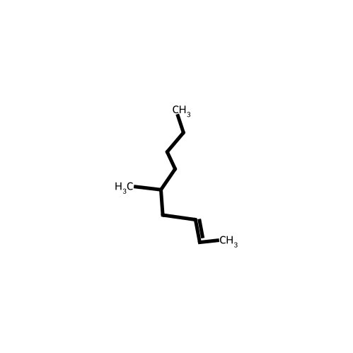 C/C=C/CC(C)CCCC